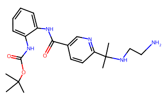 CC(C)(C)OC(=O)Nc1ccccc1NC(=O)c1ccc(C(C)(C)NCCN)nc1